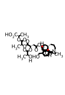 C[C@H](O)C(=O)O[C@@H](CC(=O)OC1=CC[C@@]2(O)[C@H]3Cc4ccc(CO)c5c4[C@@]2(CCCN3C)[C@H]1O5)C(=O)O[C@@H](C)C(=O)O[C@@H](C)C(=O)O